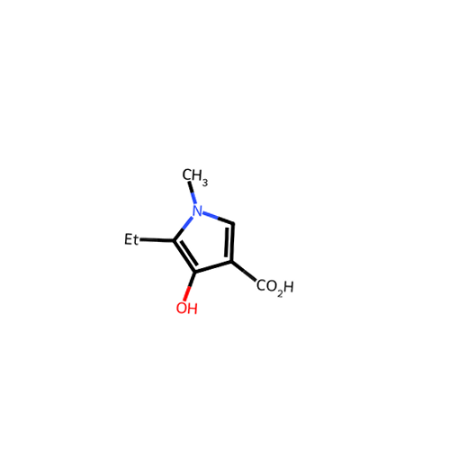 CCc1c(O)c(C(=O)O)cn1C